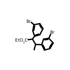 CCOC(=O)C(c1cccc(Br)c1)C(C)c1cccc(Br)c1